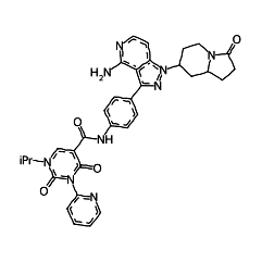 CC(C)n1cc(C(=O)Nc2ccc(-c3nn(C4CCN5C(=O)CCC5C4)c4ccnc(N)c34)cc2)c(=O)n(-c2ccccn2)c1=O